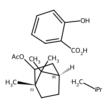 CC(=O)OC1C[C@H]2CC[C@@]1(C)C2(C)C.O=C(O)c1ccccc1O.[CH2]C(C)C